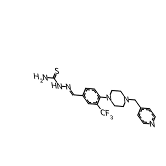 NC(=S)NN=Cc1ccc(N2CCN(Cc3ccncc3)CC2)c(C(F)(F)F)c1